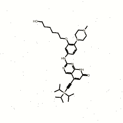 CC(C)[Si](C#Cc1cc(=O)[nH]c2nc(Nc3ccc(N4CCN(C)CC4)c(OCCCCCCO)c3)ncc12)(C(C)C)C(C)C